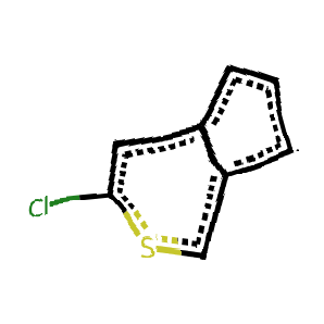 Clc1cc2cc[c]c-2cs1